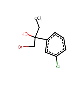 OC(CBr)(CC(Cl)(Cl)Cl)c1cccc(Cl)c1